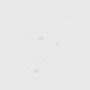 NS(=O)(=O)c1cccc2c1C(=O)C=C(Nc1cncc(C3CCSCC3)c1)C2=O